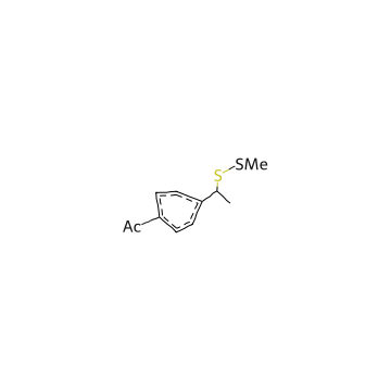 CSSC(C)c1ccc(C(C)=O)cc1